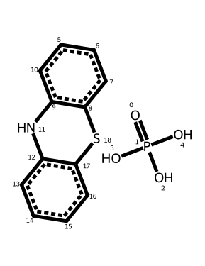 O=P(O)(O)O.c1ccc2c(c1)Nc1ccccc1S2